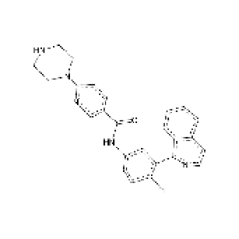 O=C(Nc1ccc(I)c(-c2nccc3ccccc23)c1)c1ccc(N2CCNCC2)nc1